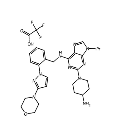 CC(C)n1cnc2c(NCc3ccccc3-n3ccc(N4CCOCC4)n3)nc(N3CCC(N)CC3)nc21.O=C(O)C(F)(F)F